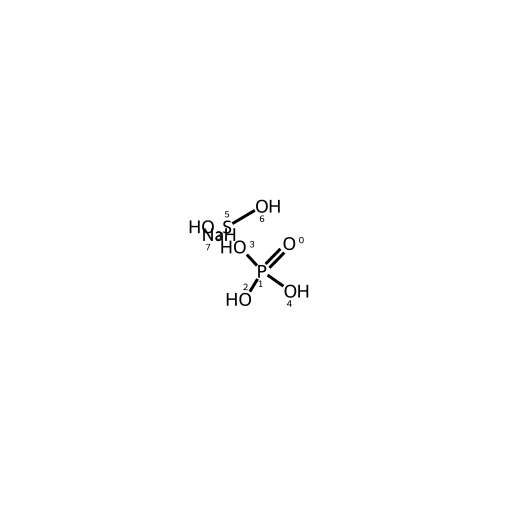 O=P(O)(O)O.O=S(=O)(O)O.[NaH]